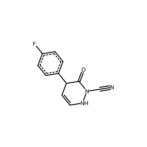 N#CN1NC=CC(c2ccc(F)cc2)C1=O